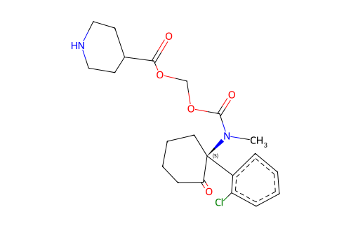 CN(C(=O)OCOC(=O)C1CCNCC1)[C@]1(c2ccccc2Cl)CCCCC1=O